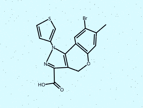 Cc1cc2c(cc1Br)-c1c(c(C(=O)O)nn1-c1ccsc1)CO2